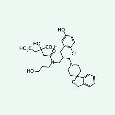 O=C(O)CC(O)(CC(=O)N(CCCO)CC(Cc1cc(O)ccc1Cl)CN1CCC2(CC1)OCc1ccccc12)C(=O)O